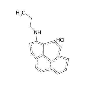 CCCNc1ccc2ccc3cccc4ccc1c2c34.Cl